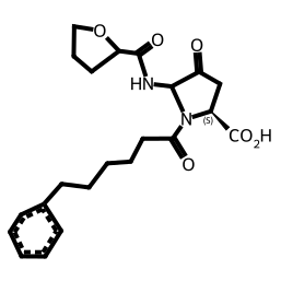 O=C(NC1C(=O)C[C@@H](C(=O)O)N1C(=O)CCCCCc1ccccc1)C1CCCO1